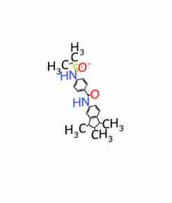 CC1c2ccc(NC(=O)c3ccc(N[S+]([O-])C(C)C)cc3)cc2C(C)C1C